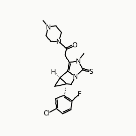 CN1CCN(C(=O)Cc2c3n(c(=S)n2C)C[C@@]2(c4cc(Cl)ccc4F)C[C@@H]32)CC1